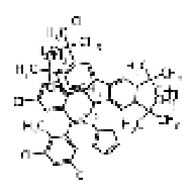 Cc1c(Cl)cc(Cl)cc1[C](c1cc(Cl)cc(Cl)c1C)=[Zr+2]([C]1=CC=CC1)[CH]1c2cc(C(C)(C)C)c(C(C)(C)C)cc2-c2cc(C(C)(C)C)c(C(C)(C)C)cc21.[Cl-].[Cl-]